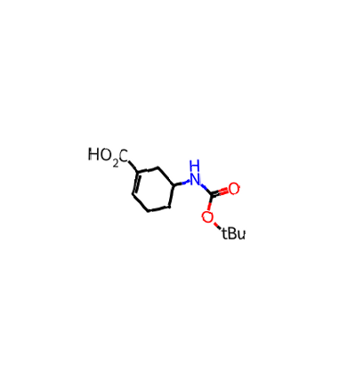 CC(C)(C)OC(=O)NC1CCC=C(C(=O)O)C1